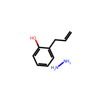 C=CCc1ccccc1O.NN